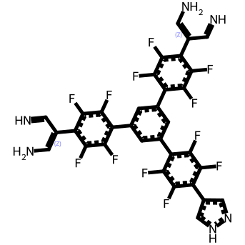 N=C/C(=C\N)c1c(F)c(F)c(-c2cc(-c3c(F)c(F)c(/C(C=N)=C/N)c(F)c3F)cc(-c3c(F)c(F)c(-c4cn[nH]c4)c(F)c3F)c2)c(F)c1F